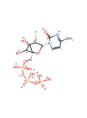 Nc1ccn([C@@H]2O[C@@]3(COP(=O)(O)OP(=O)(O)OP(=O)(O)O)C(Br)[C@]3(O)[C@H]2F)c(=O)n1